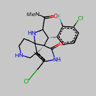 CNC(=O)C1NC2(CCNCC2)[C@]2(C(=O)Nc3cc(Cl)ccc32)[C@H]1c1cccc(Cl)c1F